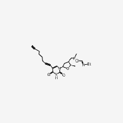 C#CCCCCC#Cc1cn([C@H]2CC(CP(C)O/C=N/CC)[C@@H](C)O2)c(=O)[nH]c1=O